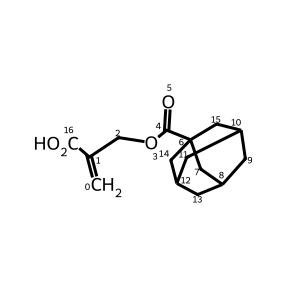 C=C(COC(=O)C12CC3CC(CC(C3)C1)C2)C(=O)O